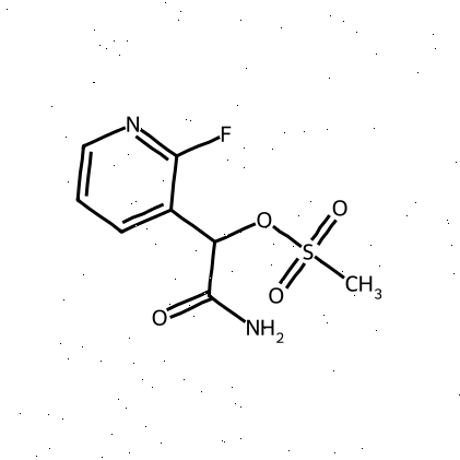 CS(=O)(=O)OC(C(N)=O)c1cccnc1F